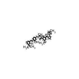 COc1cc(C(=O)N[C@@H](C)CCc2ccc(NCc3cncc(C(C)C)c3)c(O)c2)cc(C(=O)N2CCC[C@@H]2c2nc(C)cs2)c1